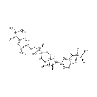 Cc1cc(C(=O)N(C)C)ccc1CCS(=O)(=O)N1CCC2(CC1)N=C(c1cccc(OC(F)(F)C(F)F)c1)NC2=O